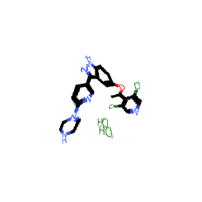 CC(Oc1ccc2[nH]nc(-c3ccc(N4CCNCC4)nc3)c2c1)c1c(Cl)cncc1Cl.Cl.Cl